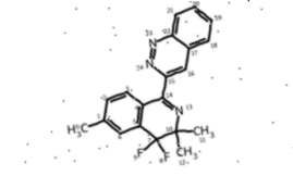 Cc1ccc2c(c1)C(F)(F)C(C)(C)N=C2c1cc2ccccc2nn1